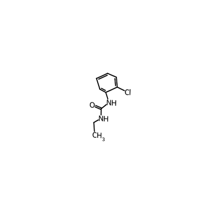 CCNC(=O)Nc1ccccc1Cl